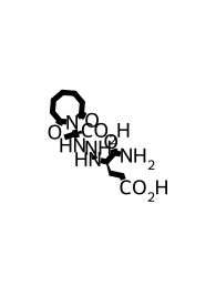 C[C@](NNN[C@H](CCC(=O)O)C(N)=O)(C(=O)O)N1C(=O)CCCCCC1=O